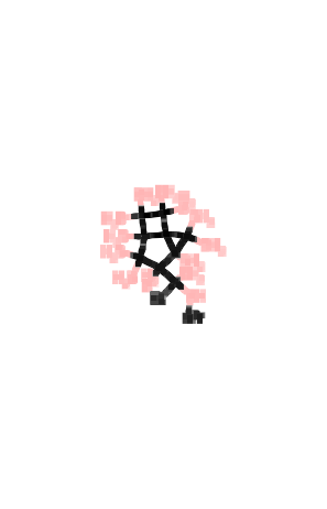 BC(BCCC)(CC)C1(B)C(B)(B)C2(B)C(B)(B)C(B)(B)C23C(B)(B)C13B